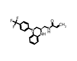 C=CC(=O)NC[C@@H]1CN(c2ccc(C(F)(F)F)cc2)c2ccccc2N1